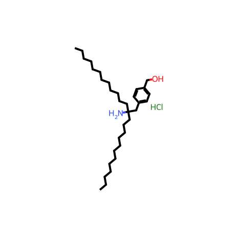 CCCCCCCCCCCCC(N)(CCCCCCCCCCCC)Cc1ccc(CO)cc1.Cl